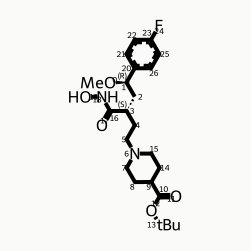 CO[C@H](C[C@H](CCN1CCC(C(=O)OC(C)(C)C)CC1)C(=O)NO)c1ccc(F)cc1